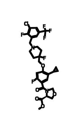 COC(=O)[C@@H]1COCN1C(=O)c1cc(C2CC2)c(OCC2(F)CCN(Cc3cc(C(F)(F)F)cc(Cl)c3F)CC2)cc1F